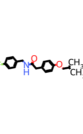 CC(C)COc1ccc(CC(=O)NCc2ccc(F)cc2)cc1